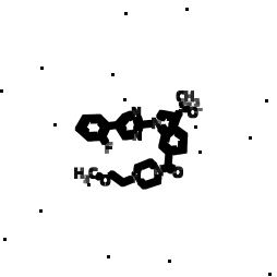 COCCN1CCN(C(=O)c2ccc3c([S+](C)[O-])cn(-c4ncc(-c5ccccc5F)cn4)c3c2)CC1